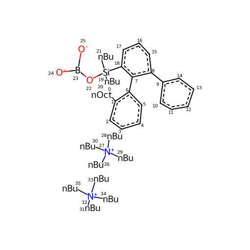 CCCCCCCCc1ccccc1-c1c(-c2ccccc2)cccc1[Si](CCCC)(CCCC)OB([O-])[O-].CCCC[N+](CCCC)(CCCC)CCCC.CCCC[N+](CCCC)(CCCC)CCCC